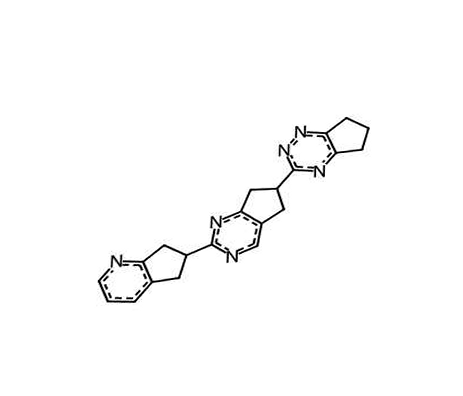 c1cnc2c(c1)CC(c1ncc3c(n1)CC(c1nnc4c(n1)CCC4)C3)C2